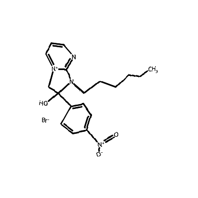 CCCCCCN1c2nccc[n+]2CC1(O)c1ccc([N+](=O)[O-])cc1.[Br-]